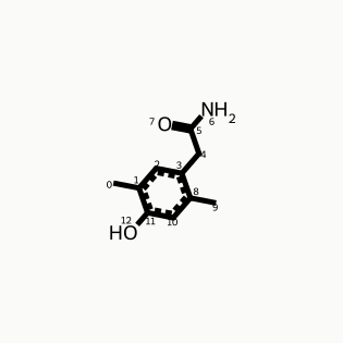 Cc1cc(CC(N)=O)c(C)cc1O